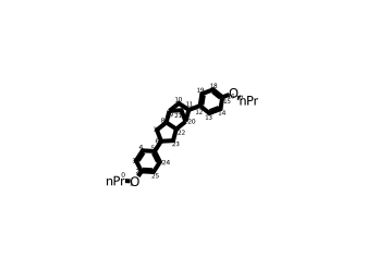 CCCOc1ccc(C2CC3C4CC(c5ccc(OCCC)cc5)C(C4)C3C2)cc1